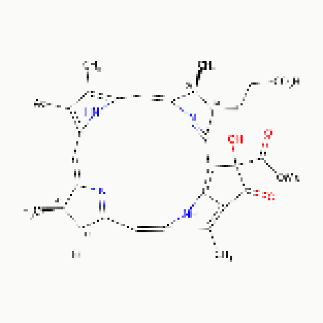 CC[C@H]1c2cc3[nH]c4c(c3C)C(=O)C(O)(C(=O)OC)c4c3nc(cc4[nH]c(cc(n2)[C@@H]1C)c(C(C)=O)c4C)[C@@H](C)[C@@H]3CCC(=O)O